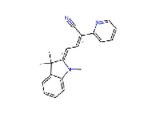 CN1/C(=C\C=C(/C#N)c2ccccn2)C(C)(C)c2ccccc21